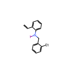 C=Cc1ccccc1N(I)Cc1ccccc1CC